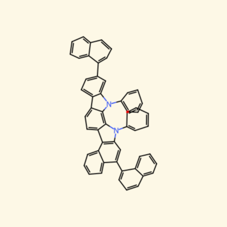 c1ccc(-n2c3cc(-c4cccc5ccccc45)ccc3c3ccc4c5c6ccccc6c(-c6cccc7ccccc67)cc5n(-c5ccccc5)c4c32)cc1